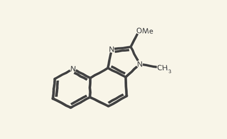 COc1nc2c3ncccc3ccc2n1C